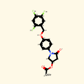 CNC(=O)OC1CC(=O)N(c2ccc(OCc3cc(F)c(F)cc3F)cc2)C1